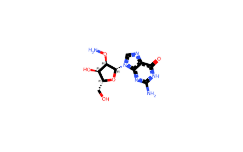 NO[C@@H]1[C@H](O)[C@@H](CO)O[C@H]1n1cnc2c(=O)[nH]c(N)nc21